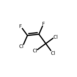 FC(Cl)=C(F)C(Cl)(Cl)Cl